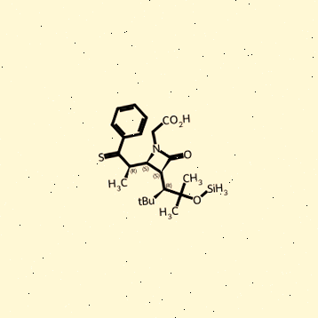 C[C@@H](C(=S)c1ccccc1)[C@@H]1[C@H]([C@H](C(C)(C)C)C(C)(C)O[SiH3])C(=O)N1CC(=O)O